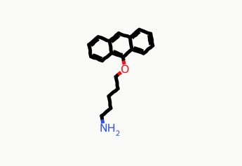 NCCCCCOc1c2ccccc2cc2ccccc12